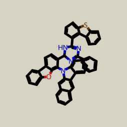 c1ccc(C2=NC(c3ccc4c(oc5ccccc54)c3-n3c4ccccc4c4cc5ccccc5cc43)NC(c3cccc4sc5ccccc5c34)=N2)cc1